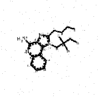 CCCCc1nc2c(N)nc3ccccc3c2n1CC(C)(C)CC